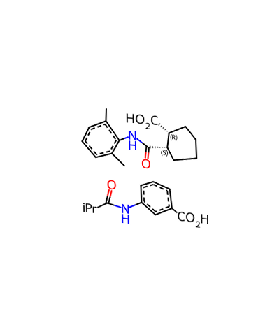 CC(C)C(=O)Nc1cccc(C(=O)O)c1.Cc1cccc(C)c1NC(=O)[C@H]1CCCC[C@H]1C(=O)O